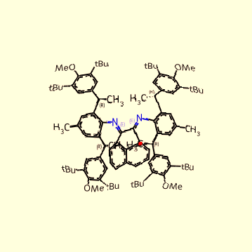 COc1c(C(C)(C)C)cc([C@@H](C)c2cc(C)cc([C@H](C)c3cc(C(C)(C)C)c(OC)c(C(C)(C)C)c3)c2/N=C2/C(=N/c3c([C@H](C)c4cc(C(C)(C)C)c(OC)c(C(C)(C)C)c4)cc(C)cc3[C@H](C)c3cc(C(C)(C)C)c(OC)c(C(C)(C)C)c3)c3cccc4cccc2c34)cc1C(C)(C)C